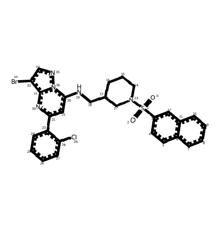 O=S(=O)(c1ccc2ccccc2c1)N1CCCC(CNc2cc(-c3ccccc3Cl)nc3c(Br)cnn23)C1